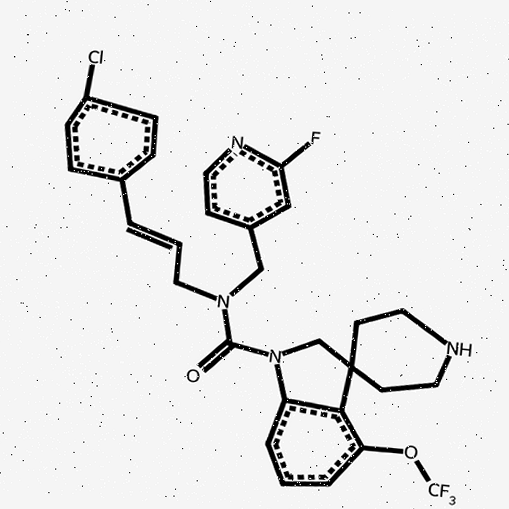 O=C(N(CC=Cc1ccc(Cl)cc1)Cc1ccnc(F)c1)N1CC2(CCNCC2)c2c(OC(F)(F)F)cccc21